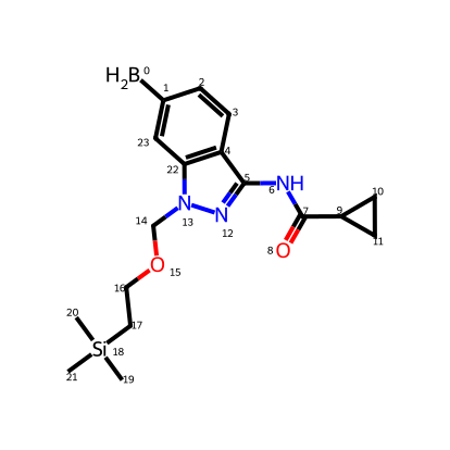 Bc1ccc2c(NC(=O)C3CC3)nn(COCC[Si](C)(C)C)c2c1